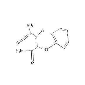 NC(=O)C(Cl)=C(Oc1ccccc1)C(N)=O